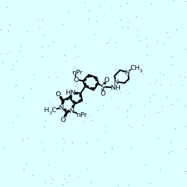 CCCOc1ccc(S(=O)(=O)NN2CCN(C)CC2)cc1-c1cc2c([nH]1)c(=O)n(C)c(=O)n2CCC